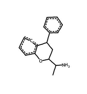 CC(N)C1CC(c2ccccc2)c2ccccc2O1